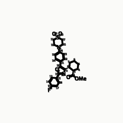 COC(=O)[C@@H]1CCCC[C@H]1c1nc(-c2ccc(F)cc2)oc1-c1ccc(N2CCS(=O)(=O)CC2)cc1